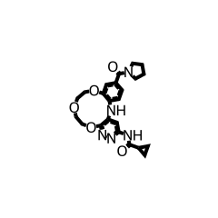 O=C(Nc1cc2c(nn1)OCCOCCOc1cc(C(=O)N3CCCC3)ccc1N2)C1CC1